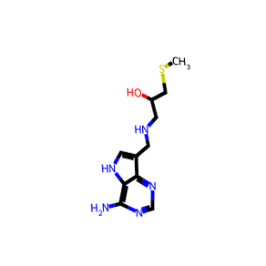 CSCC(O)CNCc1c[nH]c2c(N)ncnc12